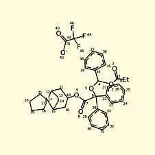 CCC(=O)OC(OC(C(=O)OC1CC2CCC(C1)[N+]21CCCC1)(c1ccccc1)c1ccccc1)c1ccccc1.O=C([O-])C(F)(F)F